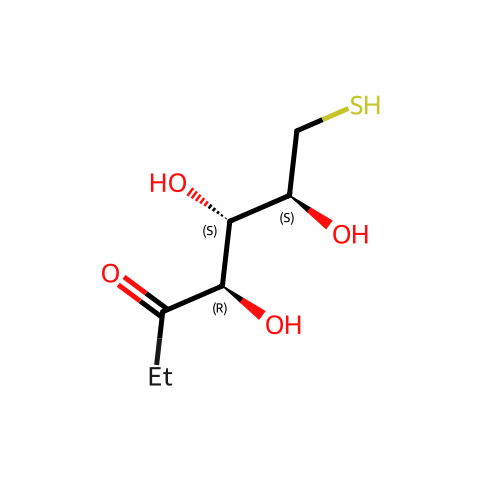 CCC(=O)[C@H](O)[C@H](O)[C@H](O)CS